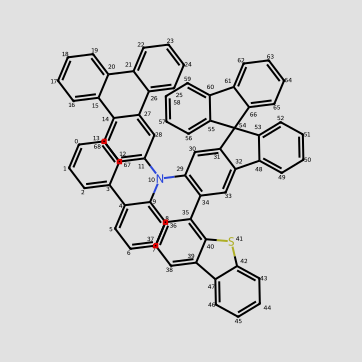 c1ccc(-c2ccccc2N(c2ccc3c4ccccc4c4ccccc4c3c2)c2cc3c(cc2-c2cccc4c2sc2ccccc24)-c2ccccc2C32c3ccccc3-c3ccccc32)cc1